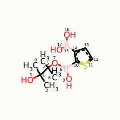 CC(C)(O)C(C)(C)OB(O)c1sccc1B(O)O